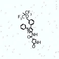 CC(OCc1cccc(-c2cc(NC(=O)[C@@H]3CNC(=O)C3)nn2-c2ccccc2)c1)(C(F)(F)F)C(F)(F)F